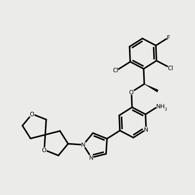 C[C@@H](Oc1cc(-c2cnn(C3COC4(CCOC4)C3)c2)cnc1N)c1c(Cl)ccc(F)c1Cl